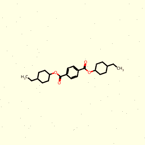 CCC1CCC(OC(=O)c2ccc(C(=O)OC3CCC(CC)CC3)cc2)CC1